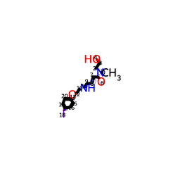 CN(CCO)C(=O)/C=C/CNCCOc1ccc(I)cc1